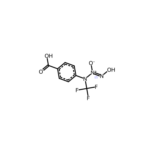 O=C(O)c1ccc(N(/[N+]([O-])=N/O)C(F)(F)F)cc1